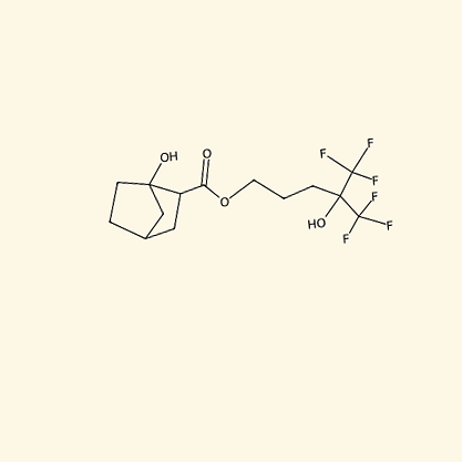 O=C(OCCCC(O)(C(F)(F)F)C(F)(F)F)C1CC2CCC1(O)C2